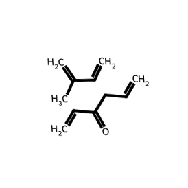 C=CC(=C)C.C=CCC(=O)C=C